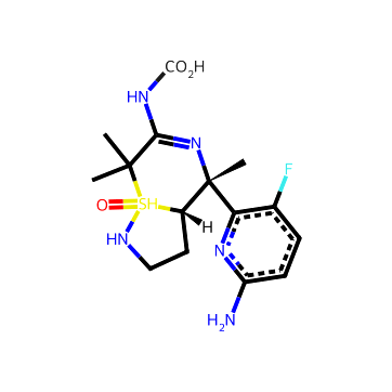 CC1(C)C(NC(=O)O)=N[C@](C)(c2nc(N)ccc2F)[C@@H]2CCN[SH]21=O